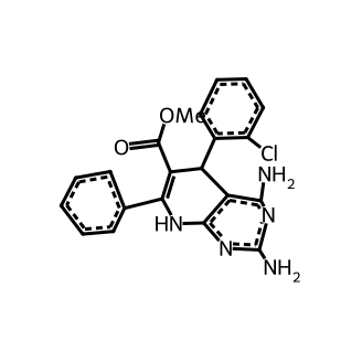 COC(=O)C1=C(c2ccccc2)Nc2nc(N)nc(N)c2C1c1ccccc1Cl